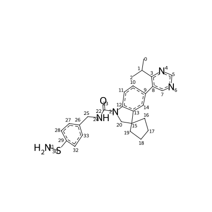 CC(C)c1ncncc1-c1ccc2c(c1)C1(CCCC1)CN2C(=O)NCc1ccc(SN)cc1